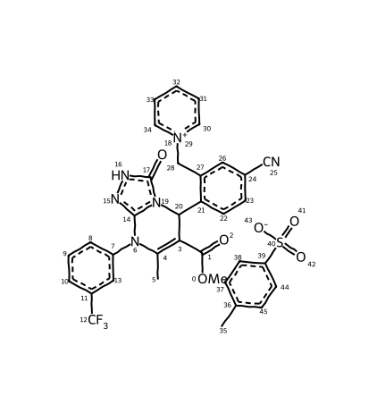 COC(=O)C1=C(C)N(c2cccc(C(F)(F)F)c2)c2n[nH]c(=O)n2C1c1ccc(C#N)cc1C[n+]1ccccc1.Cc1ccc(S(=O)(=O)[O-])cc1